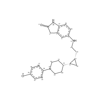 O=C1Cc2cc(NCC[C@@H]3C[C@@H]3C3CCN(c4ncc(Cl)cn4)CC3)ccc2N1